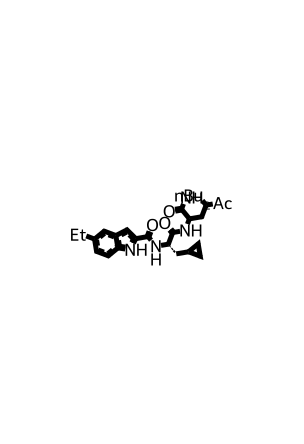 CCCCC(CC(NC(=O)[C@H](CC1CC1)NC(=O)c1cc2cc(CC)ccc2[nH]1)C(N)=O)C(C)=O